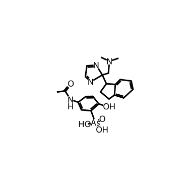 CC(=O)Nc1ccc(O)c([As](=O)(O)O)c1.CN(C)CC1(C2CCc3ccccc32)N=CC=N1